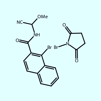 COC(C#N)NC(=O)c1ccc2ccccc2c1Br.O=C1CCC(=O)N1Br